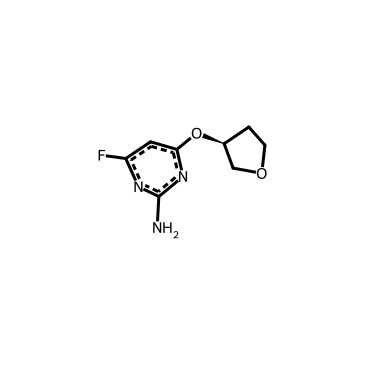 Nc1nc(F)cc(O[C@H]2CCOC2)n1